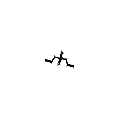 C=CCS(=N)(=O)CC=C